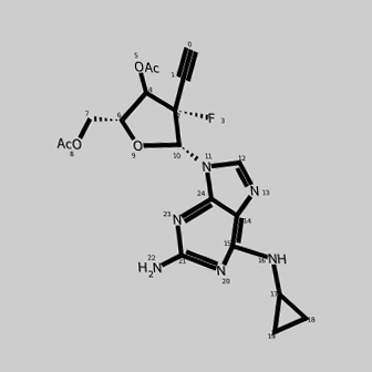 C#C[C@]1(F)C(OC(C)=O)[C@@H](COC(C)=O)O[C@H]1n1cnc2c(NC3CC3)nc(N)nc21